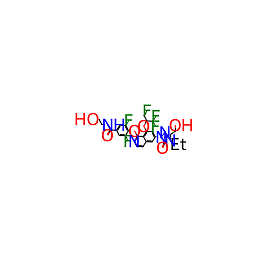 CCn1c(CO)nn(-c2cc(OC(CF)C(F)F)c3c(Oc4c(F)cc(C(=O)NCCO)cc4F)nccc3c2)c1=O